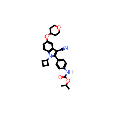 CC(C)OC(=O)Nc1ccc(-c2c(C#N)c3cc(OC4CCOCC4)ccc3n2C2CCC2)cc1